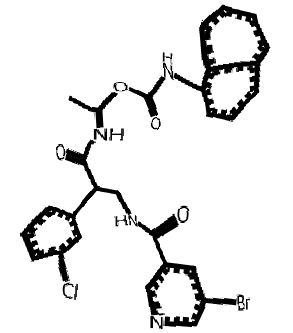 CC(NC(=O)C(CNC(=O)c1cncc(Br)c1)c1cccc(Cl)c1)OC(=O)Nc1cccc2ccccc12